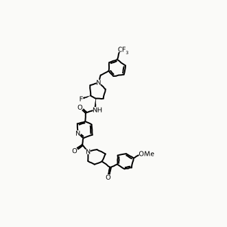 COc1ccc(C(=O)C2CCN(C(=O)c3ccc(C(=O)N[C@@H]4CCN(Cc5cccc(C(F)(F)F)c5)C[C@@H]4F)cn3)CC2)cc1